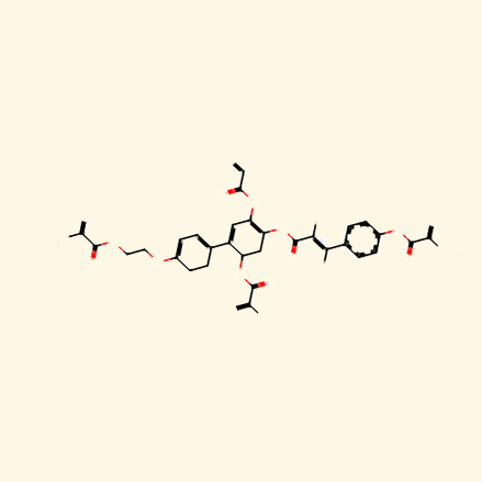 C=CC(=O)OC1=C(OC(=O)/C(C)=C(\C)c2ccc(OC(=O)C(=C)C)cc2)CC(OC(=O)C(=C)C)C(C2=CC=C(OCCOC(=O)C(=C)C)CC2)=C1